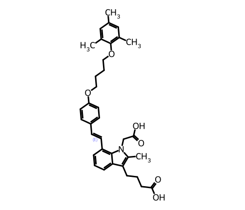 Cc1cc(C)c(OCCCCOc2ccc(/C=C/c3cccc4c(CCCC(=O)O)c(C)n(CC(=O)O)c34)cc2)c(C)c1